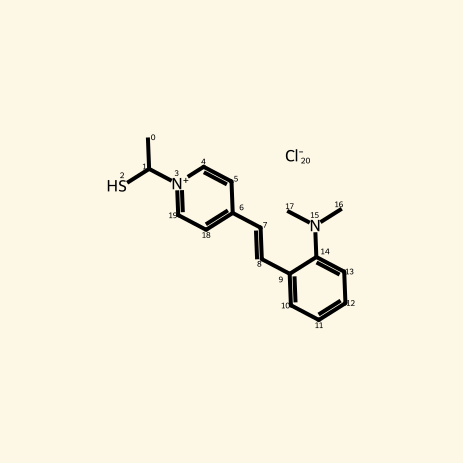 CC(S)[n+]1ccc(/C=C/c2ccccc2N(C)C)cc1.[Cl-]